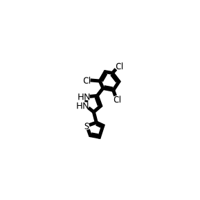 Clc1cc(Cl)c(C2=CC(c3cccs3)NN2)c(Cl)c1